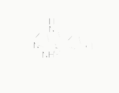 O=c1c(-c2ccc(Cl)cc2)c[nH]c2ccnc(NC3CCCC3)c12